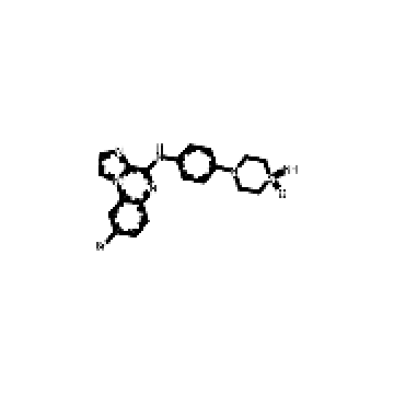 N=S1(=O)CCN(c2ccc(Nc3nc4ccc(Br)cc4n4ccnc34)cc2)CC1